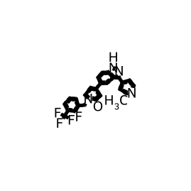 Cc1cc(-c2n[nH]c3ccc(-c4ccn(Cc5cccc(C(F)(F)F)c5F)c(=O)c4)cc23)ccn1